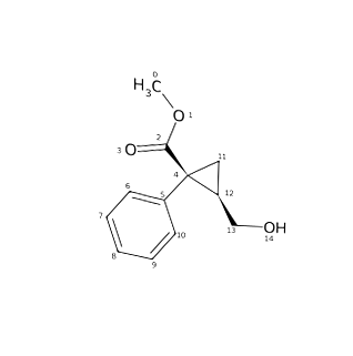 COC(=O)[C@@]1(c2ccccc2)C[C@H]1CO